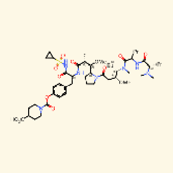 CC[C@H](C)[C@@H]([C@@H](CC(=O)N1CCC[C@H]1[C@H](OC)[C@@H](C)C(=O)N[C@@H](Cc1ccc(OC(=O)N2CCC(C(=O)O)CC2)cc1)C(=O)NS(=O)(=O)C1CC1)OC)N(C)C(=O)C(NC(=O)[C@H](C(C)C)N(C)C)C(C)C